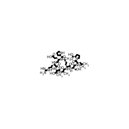 CSCC[C@H](NC(=O)[C@H](C)NC(=O)[C@@H](NC(=O)[C@H](CCCNC(=N)N)NC(=O)[C@H](CCC(=O)O)NC(=O)[C@@H]1CCCN1)[C@@H](C)O)C(=O)N[C@@H](CO)C(=O)N[C@@H](CC(C)C)C(=O)N1CCC[C@H]1C(=O)O